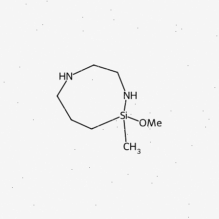 CO[Si]1(C)CCCNCCN1